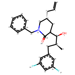 C=CC[C@@H]1CC([C@@H](O)[C@@H](C)Cc2cc(F)cc(F)c2)C(=O)N(Cc2ccccc2)C1